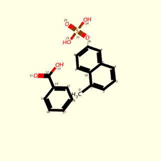 Cc1cccc2ccccc12.O=C(O)c1ccccc1.O=S(=O)(O)O